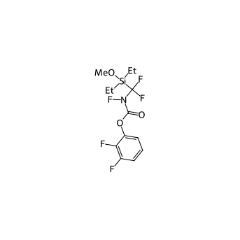 CC[Si](CC)(OC)C(F)(F)N(F)C(=O)Oc1cccc(F)c1F